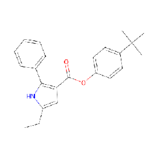 CCc1cc(C(=O)Oc2ccc(C(C)(C)C)cc2)c(-c2ccccc2)[nH]1